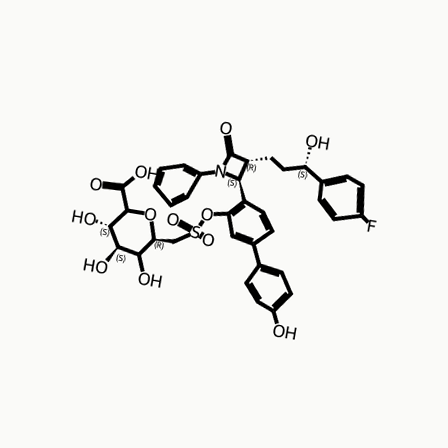 O=C(O)C1O[C@@H](CS(=O)(=O)Oc2cc(-c3ccc(O)cc3)ccc2[C@@H]2[C@@H](CC[C@H](O)c3ccc(F)cc3)C(=O)N2c2ccccc2)C(O)[C@@H](O)[C@@H]1O